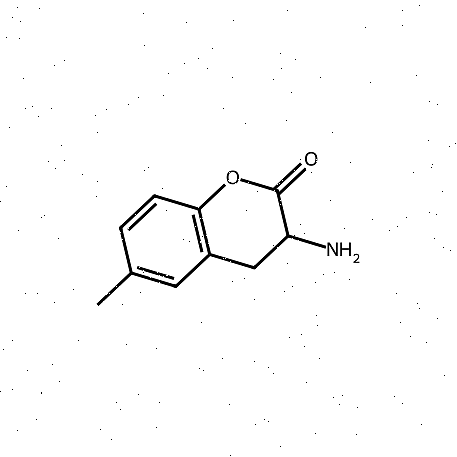 Cc1ccc2c(c1)CC(N)C(=O)O2